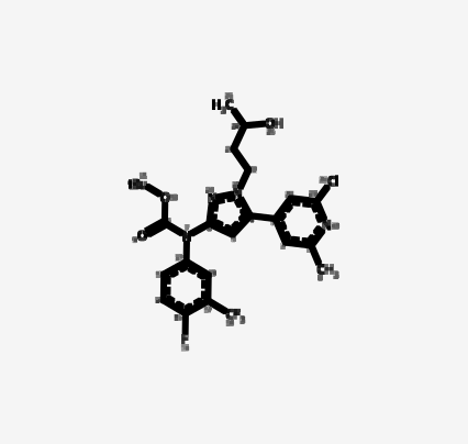 Cc1cc(-c2cc(N(C(=O)OC(C)(C)C)c3ccc(F)c(C(F)(F)F)c3)nn2CCC(C)O)cc(Cl)n1